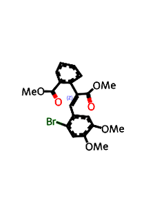 COC(=O)/C(=C\c1cc(OC)c(OC)cc1Br)c1ccccc1C(=O)OC